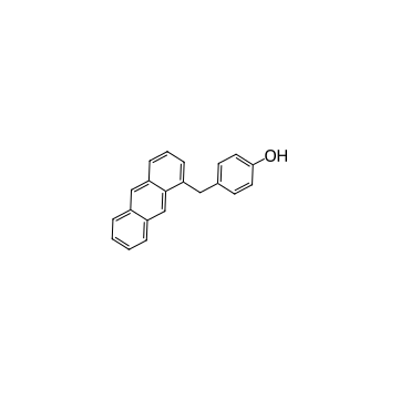 Oc1ccc(Cc2cccc3cc4ccccc4cc23)cc1